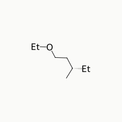 CCOCC[C@@H](C)CC